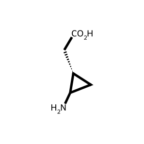 NC1C[C@H]1CC(=O)O